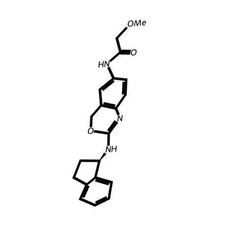 COCC(=O)Nc1ccc2c(c1)COC(N[C@@H]1CCc3ccccc31)=N2